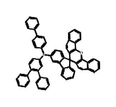 c1ccc(-c2ccc(N(c3ccc(-c4ccccc4)c(-c4ccccc4)c3)c3ccc4c(c3)-c3ccccc3C43c4ccc5ccccc5c4Oc4c3ccc3ccccc43)cc2)cc1